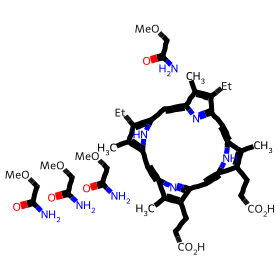 CCC1=C(C)c2cc3[nH]c(cc4nc(cc5[nH]c(cc1n2)c(C)c5CCC(=O)O)C(CCC(=O)O)=C4C)c(C)c3CC.COCC(N)=O.COCC(N)=O.COCC(N)=O.COCC(N)=O